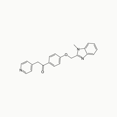 Cn1c(COc2ccc(C(=O)Cc3ccncc3)cc2)nc2ccccc21